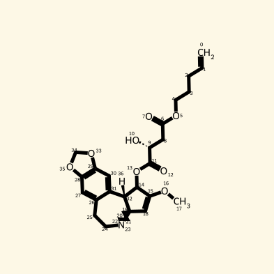 C=CCCCOC(=O)C[C@@H](O)C(=O)OC1C(OC)=CC23CCCN2CCc2cc4c(cc2[C@H]13)OCO4